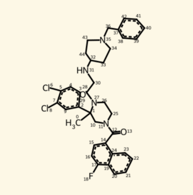 CC1(c2ccc(Cl)c(Cl)c2)CN(C(=O)c2ccc(F)c3ccccc23)CCN1C(=O)CNC1CCN(Cc2ccccc2)CC1